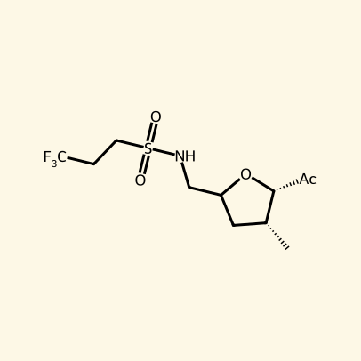 CC(=O)[C@H]1OC(CNS(=O)(=O)CCC(F)(F)F)C[C@H]1C